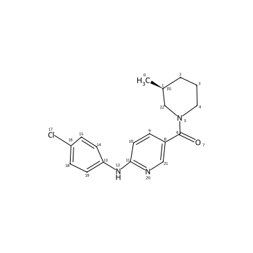 C[C@H]1CCCN(C(=O)c2ccc(Nc3ccc(Cl)cc3)nc2)C1